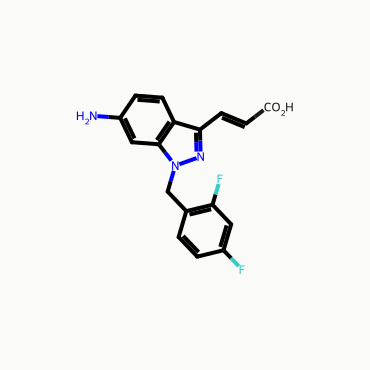 Nc1ccc2c(/C=C/C(=O)O)nn(Cc3ccc(F)cc3F)c2c1